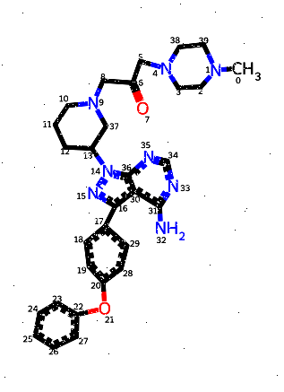 CN1CCN(CC(=O)CN2CCCC(n3nc(-c4ccc(Oc5ccccc5)cc4)c4c(N)ncnc43)C2)CC1